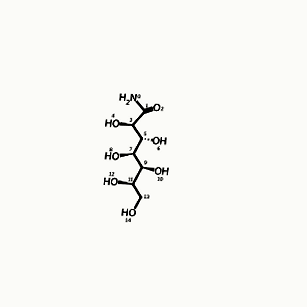 NC(=O)[C@H](O)[C@H](O)[C@H](O)[C@@H](O)[C@H](O)CO